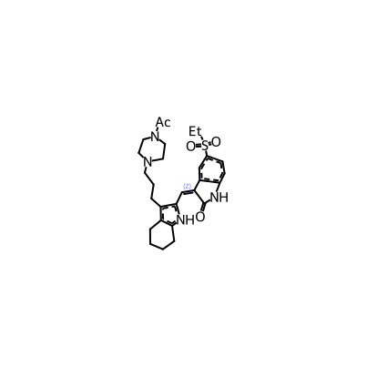 CCS(=O)(=O)c1ccc2c(c1)/C(=C/c1[nH]c3c(c1CCCN1CCN(C(C)=O)CC1)CCCC3)C(=O)N2